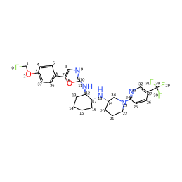 FCOc1ccc(-c2cnc(N[C@@H]3CCCC[C@H]3N[C@H]3CCCN(c4ccc(C(F)(F)F)cn4)C3)o2)cc1